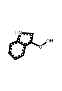 OOc1c[nH]c2ccccc12